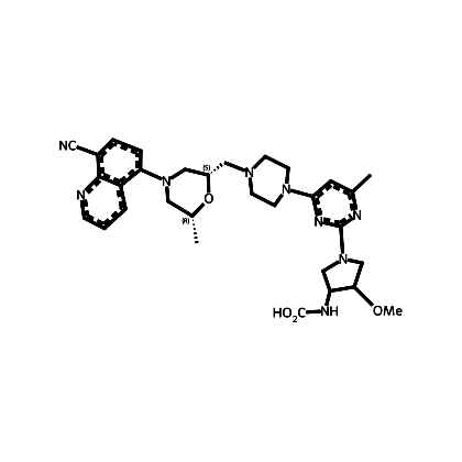 COC1CN(c2nc(C)cc(N3CCN(C[C@H]4CN(c5ccc(C#N)c6ncccc56)C[C@@H](C)O4)CC3)n2)CC1NC(=O)O